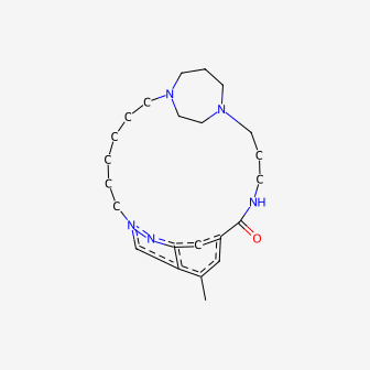 Cc1cc2cc3nn(cc13)CCCCCCN1CCCN(CCCNC2=O)CC1